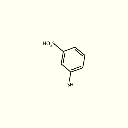 O=S(=O)(O)c1cccc(S)c1